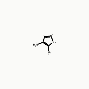 CC(C)c1sncc1N